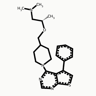 C[C@@H](CN(C)C)OCC1CCN(c2ncnc3scc(-c4ccccc4)c23)CC1